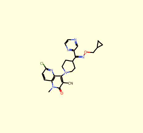 Cn1c(=O)c(C#N)c(N2CCC(/C(=N/OCC3CC3)c3cnccn3)CC2)c2nc(Cl)ccc21